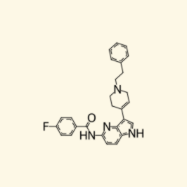 O=C(Nc1ccc2[nH]cc(C3=CCN(CCc4ccccc4)CC3)c2n1)c1ccc(F)cc1